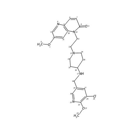 COc1cnc2ccc(=O)n(CCN3CCC(NCc4cnc(OC)c(Cl)c4)CC3)c2c1